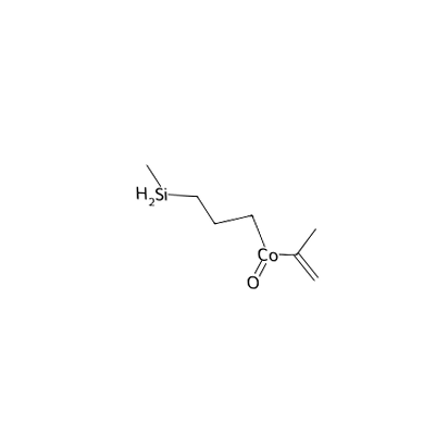 C=[C](C)[Co](=[O])[CH2]CC[SiH2]C